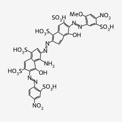 COc1cc([N+](=O)[O-])c(S(=O)(=O)O)cc1N=Nc1c(S(=O)(=O)O)cc2c(S(=O)(=O)O)c(N=Nc3cc(S(=O)(=O)O)c4cc(S(=O)(=O)O)c(N=Nc5ccc([N+](=O)[O-])cc5S(=O)(=O)O)c(O)c4c3N)ccc2c1O